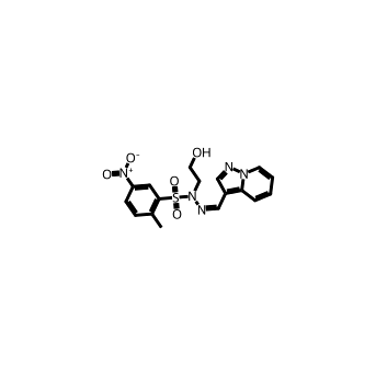 Cc1ccc([N+](=O)[O-])cc1S(=O)(=O)N(CCO)/N=C\c1cnn2ccccc12